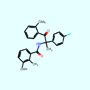 COc1ccccc1C(=O)C(C)(NC(=O)c1cccc(OC)c1C)c1ccc(F)cc1